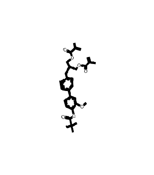 C=C(C)C(=O)OCC(COC(=O)C(=C)C)Cc1ccc(-c2ccc(OC(=O)C(C)(C)C)c(OC)c2)cc1